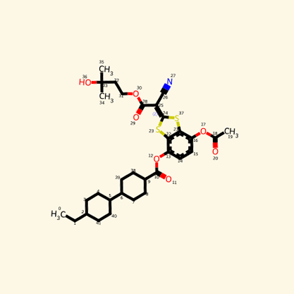 CCC1CCC(C2CCC(C(=O)Oc3ccc(OC(C)=O)c4c3S/C(=C(/C#N)C(=O)OCCC(C)(C)O)S4)CC2)CC1